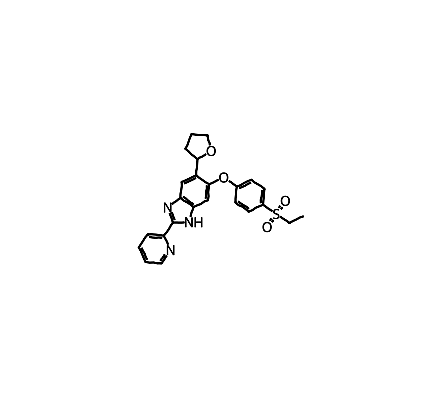 CCS(=O)(=O)c1ccc(Oc2cc3[nH]c(-c4ccccn4)nc3cc2C2CCCO2)cc1